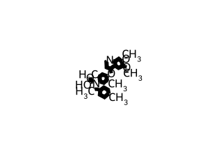 COc1cc2nccc(Oc3cc(C)c(N(C(=O)O)C(C)c4ccc(C)cc4)cc3C)c2cc1OC